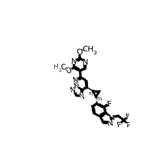 COc1ncc(-c2cc([C@H]3C[C@@H]3c3ccc4cnn(CC(F)(F)F)c4c3F)c3ncnn3n2)c(OC)n1